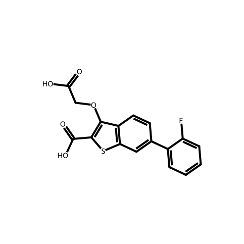 O=C(O)COc1c(C(=O)O)sc2cc(-c3ccccc3F)ccc12